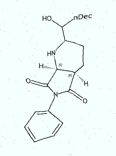 CCCCCCCCCCC(O)C1CC[C@H]2C(=O)N(c3ccccc3)C(=O)[C@H]2N1